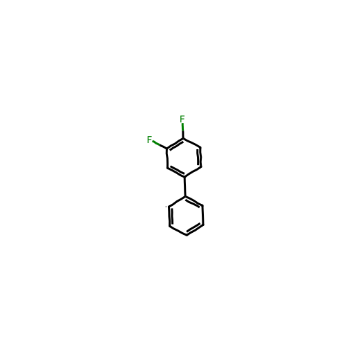 Fc1ccc(-c2[c]cccc2)cc1F